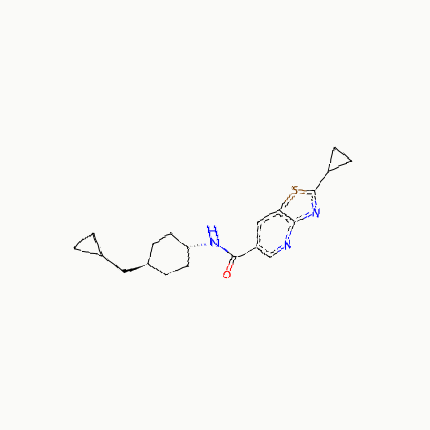 O=C(N[C@H]1CC[C@H](CC2CC2)CC1)c1cnc2nc(C3CC3)sc2c1